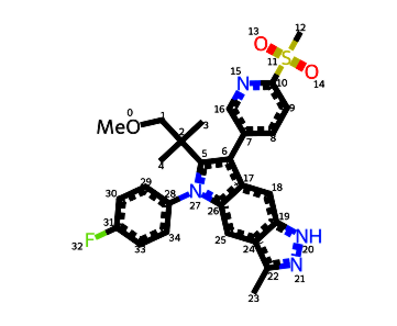 COCC(C)(C)c1c(-c2ccc(S(C)(=O)=O)nc2)c2cc3[nH]nc(C)c3cc2n1-c1ccc(F)cc1